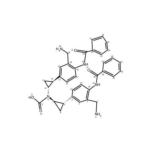 NCc1cc([C@@H]2C[C@H]2N(C(=O)O)[C@@H]2C[C@H]2c2ccc(NC(=O)c3ccccc3)c(CN)c2)ccc1NC(=O)c1ccccc1